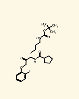 CC(C)(C)OC(=O)NCCCC[C@H](NC(=O)C1CCCC1)C(=O)COc1ccccc1F